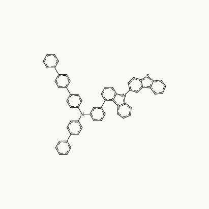 c1ccc(-c2ccc(-c3ccc(N(c4ccc(-c5ccccc5)cc4)c4cccc(-c5cccc6c5c5ccccc5n6-c5ccc6sc7ccccc7c6c5)c4)cc3)cc2)cc1